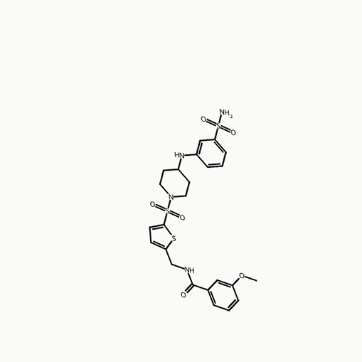 COc1cccc(C(=O)NCc2ccc(S(=O)(=O)N3CCC(Nc4cccc(S(N)(=O)=O)c4)CC3)s2)c1